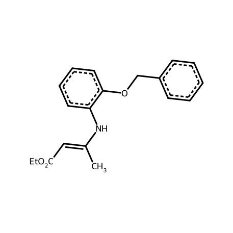 CCOC(=O)C=C(C)Nc1ccccc1OCc1ccccc1